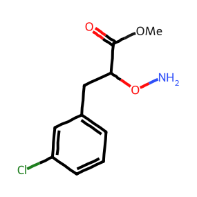 COC(=O)C(Cc1cccc(Cl)c1)ON